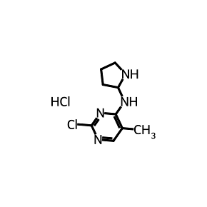 Cc1cnc(Cl)nc1NC1CCCN1.Cl